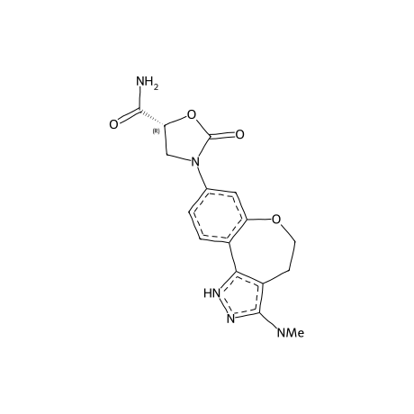 CNc1n[nH]c2c1CCOc1cc(N3C[C@H](C(N)=O)OC3=O)ccc1-2